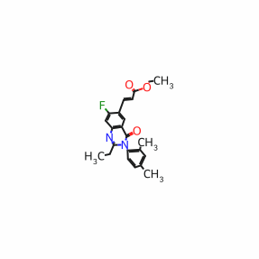 CCOC(=O)C=Cc1cc2c(=O)n(-c3ccc(C)cc3C)c(CC)nc2cc1F